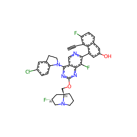 C#Cc1c(F)ccc2cc(O)cc(-c3ncc4c(N5CCc6cc(Cl)ccc65)nc(OC[C@@]56CCCN5C[C@H](F)C6)nc4c3F)c12